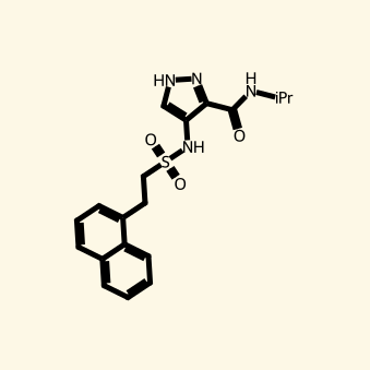 CC(C)NC(=O)c1n[nH]cc1NS(=O)(=O)CCc1cccc2ccccc12